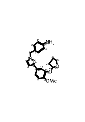 COc1ccc(-c2ccn(Cc3ccc(N)cc3)n2)cc1OC1CCCO1